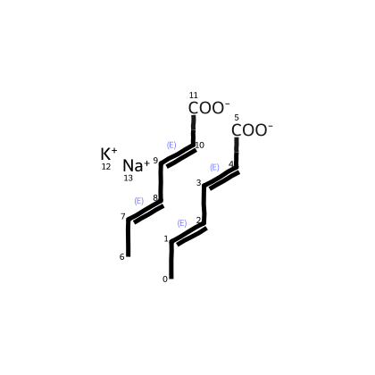 C/C=C/C=C/C(=O)[O-].C/C=C/C=C/C(=O)[O-].[K+].[Na+]